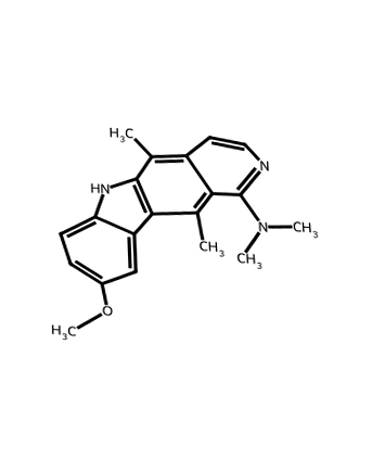 COc1ccc2[nH]c3c(C)c4ccnc(N(C)C)c4c(C)c3c2c1